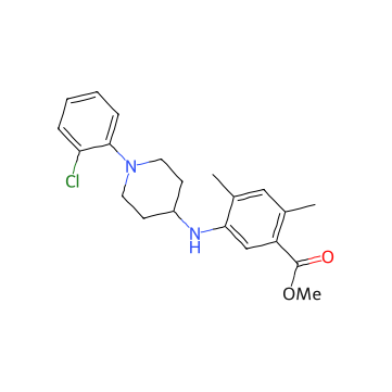 COC(=O)c1cc(NC2CCN(c3ccccc3Cl)CC2)c(C)cc1C